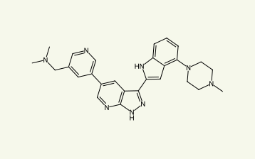 CN(C)Cc1cncc(-c2cnc3[nH]nc(-c4cc5c(N6CCN(C)CC6)cccc5[nH]4)c3c2)c1